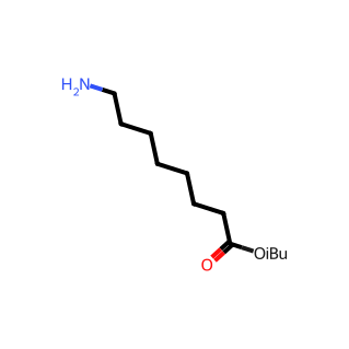 CC(C)COC(=O)CCCCCCCN